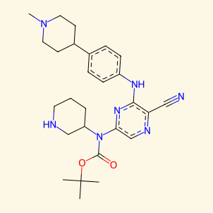 CN1CCC(c2ccc(Nc3nc(N(C(=O)OC(C)(C)C)C4CCCNC4)cnc3C#N)cc2)CC1